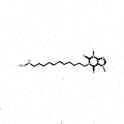 CCCCCCCCNCCCCCCCCCCCn1c(=O)c2c(ncn2C)n(C)c1=O